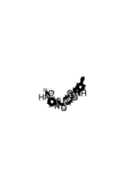 C#Cc1ccc2[nH]c(S(=O)(=O)N3CCN(C(=O)c4nc5c(s4)CC(NC(C)=O)CC5)CC3)cc2c1